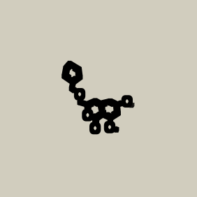 COc1cc(OC)c2c(=O)oc(COCc3ccccc3)cc2c1